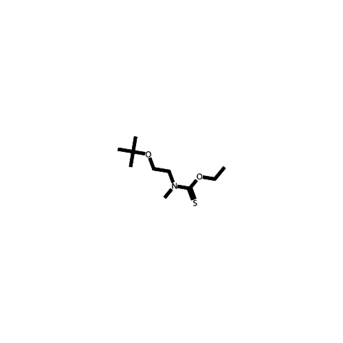 CCOC(=S)N(C)CCOC(C)(C)C